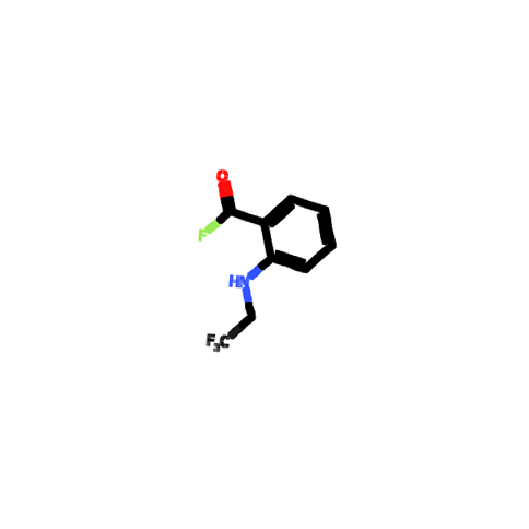 O=C(F)c1ccccc1NCC(F)(F)F